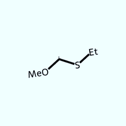 CCS[CH]OC